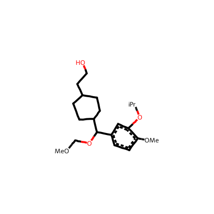 COCOC(c1ccc(OC)c(OC(C)C)c1)C1CCC(CCO)CC1